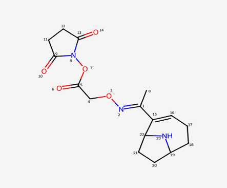 CC(=NOCC(=O)ON1C(=O)CCC1=O)C1=CCCC2CCC1N2